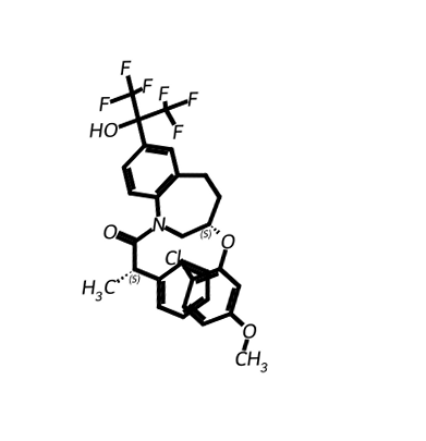 COc1ccc(Cl)c(O[C@H]2CCc3cc(C(O)(C(F)(F)F)C(F)(F)F)ccc3N(C(=O)[C@@H](C)c3ccccc3)C2)c1